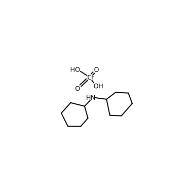 C1CCC(NC2CCCCC2)CC1.[O]=[Cr](=[O])([OH])[OH]